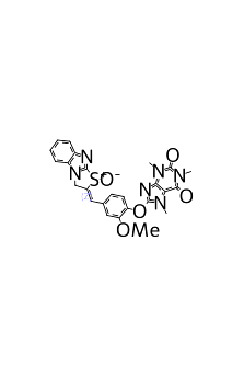 COc1cc(/C=C2/Cn3c(nc4ccccc43)[S+]2[O-])ccc1Oc1nc2c(c(=O)n(C)c(=O)n2C)n1C